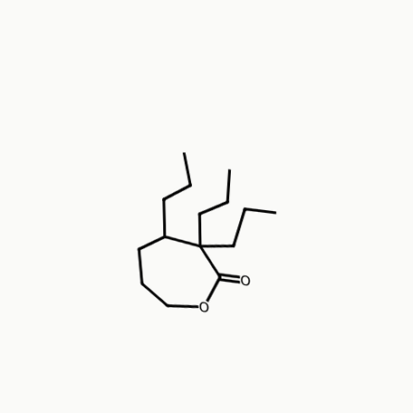 CCCC1CCCOC(=O)C1(CCC)CCC